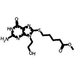 COC(=O)CCCCSc1nc2c(=O)[nH]c(N)nc2n1CCO